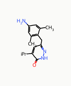 Cc1cc(N)cc(C)c1Cc1cc(C(C)C)c(=O)[nH]n1